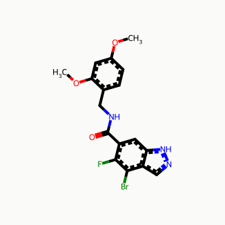 COc1ccc(CNC(=O)c2cc3[nH]ncc3c(Br)c2F)c(OC)c1